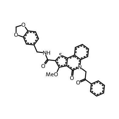 COc1c(C(=O)NCc2ccc3c(c2)OCO3)sc2c1c(=O)n(CC(=O)c1ccccc1)c1ccccc21